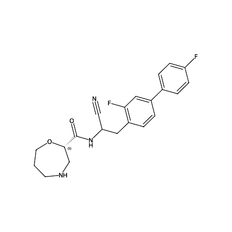 N#CC(Cc1ccc(-c2ccc(F)cc2)cc1F)NC(=O)[C@@H]1CNCCCO1